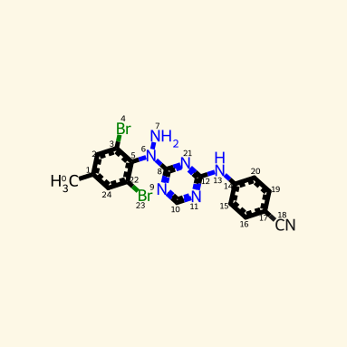 Cc1cc(Br)c(N(N)c2ncnc(Nc3ccc(C#N)cc3)n2)c(Br)c1